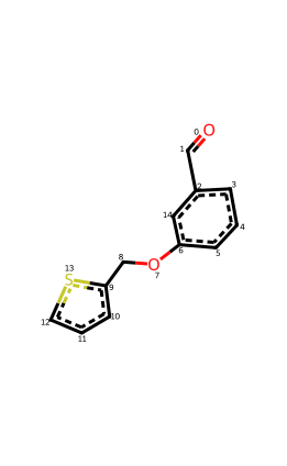 O=Cc1cccc(OCc2cccs2)c1